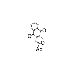 CC(=O)C1=CC2=C(CO1)C(=O)c1ccccc1C2=O